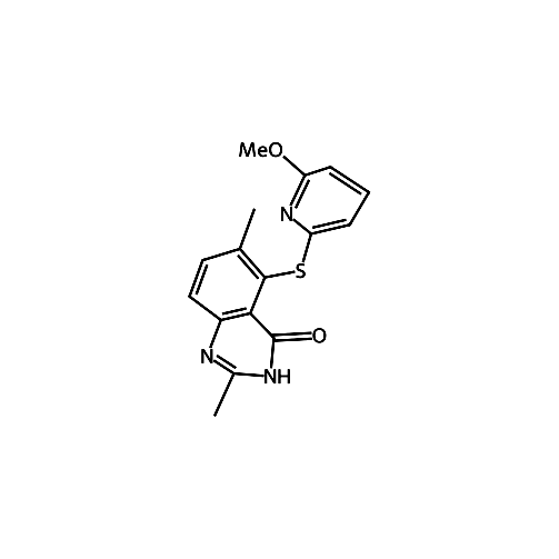 COc1cccc(Sc2c(C)ccc3nc(C)[nH]c(=O)c23)n1